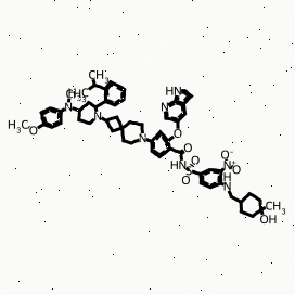 COc1ccc(N(C)C2CCN(C3CC4(CCN(c5ccc(C(=O)NS(=O)(=O)c6ccc(NCC7CCC(C)(O)CC7)c([N+](=O)[O-])c6)c(Oc6cnc7[nH]ccc7c6)c5)CC4)C3)C(c3ccccc3C(C)C)C2)cc1